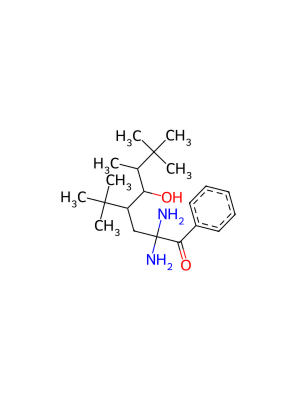 CC(C(O)C(CC(N)(N)C(=O)c1ccccc1)C(C)(C)C)C(C)(C)C